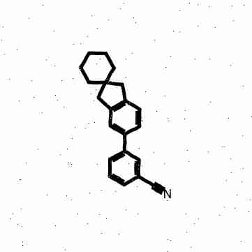 N#Cc1cccc(-c2ccc3c(c2)CC2(CCCCC2)C3)c1